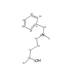 CC(O)CCCN(C)Cc1ccccc1